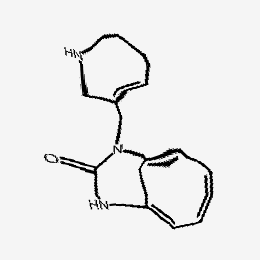 O=c1[nH]c2ccccc2n1C1=CCCNC1